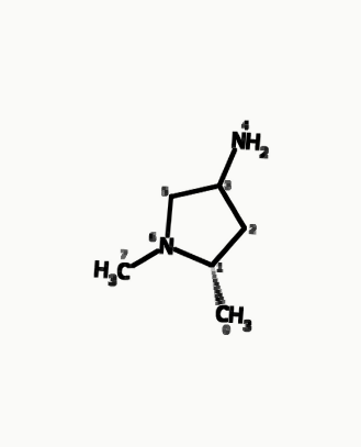 C[C@H]1CC(N)CN1C